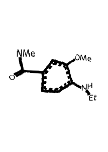 CCNc1ccc(C(=O)NC)cc1OC